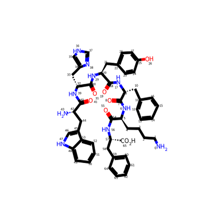 NCCCC[C@H](NC(=O)[C@@H](Cc1ccccc1)NC(=O)[C@H](Cc1ccc(O)cc1)NC(=O)[C@@H](Cc1c[nH]cn1)NC(=O)[C@@H](N)Cc1c[nH]c2ccccc12)C(=O)N[C@@H](Cc1ccccc1)C(=O)O